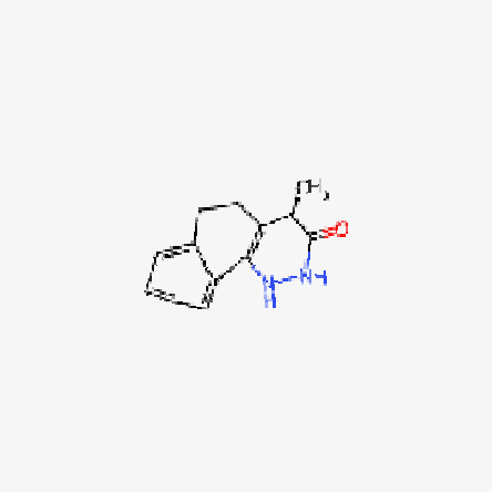 C[C@H]1C(=O)NNC2=C1CCc1ccccc12